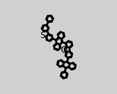 c1ccc(-c2ccc3sc4ccc(-c5c6ccccc6c(-c6cccc7c6oc6cc(-c8c9ccccc9c(-c9ccccc9)c9ccccc89)ccc67)c6ccccc56)cc4c3c2)cc1